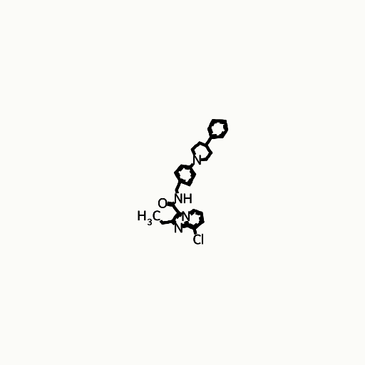 CCc1nc2c(Cl)cccn2c1C(=O)NCc1ccc(N2CCC(c3ccccc3)CC2)cc1